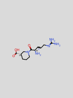 NC(N)=NC/C=C/[C@@H](N)C(=O)N1CCC[C@H](C(=O)O)C1